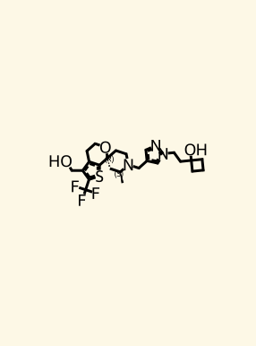 C[C@H]1C[C@@]2(CCN1Cc1cnn(CCC3(O)CCC3)c1)OCCc1c2sc(C(F)(F)F)c1CO